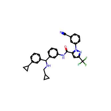 N#Cc1cccc(-n2nc(C(F)(F)F)cc2C(=O)Nc2cccc(C(NCC3CC3)c3cccc(C4CC4)c3)c2)c1